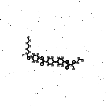 CCCCCC[C@@H](C)Oc1ccc(OC(=O)c2ccc(-c3ccc(OC(=O)[C@H](C)OCCC)cc3)cc2)cc1